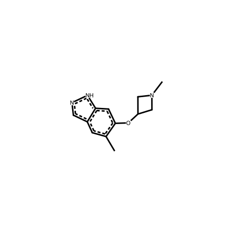 Cc1cc2cn[nH]c2cc1OC1CN(C)C1